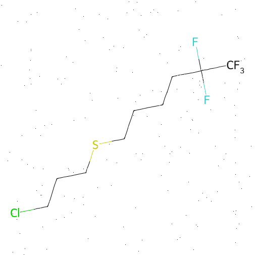 FC(F)(F)C(F)(F)CCCCSCCCCl